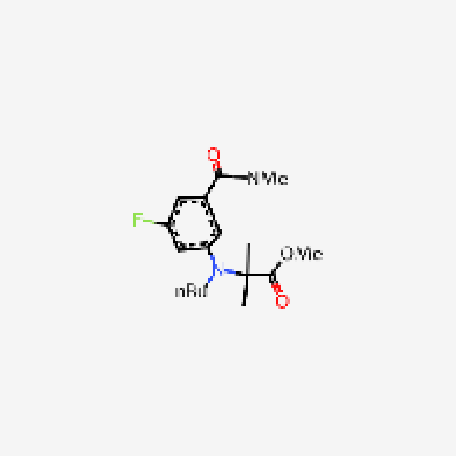 CCCCN(c1cc(F)cc(C(=O)NC)c1)C(C)(C)C(=O)OC